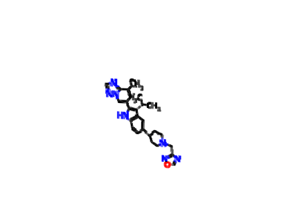 Cc1cc(-c2[nH]c3ccc(C4CCN(Cc5ncon5)CC4)cc3c2C(C)C)cn2ncnc12